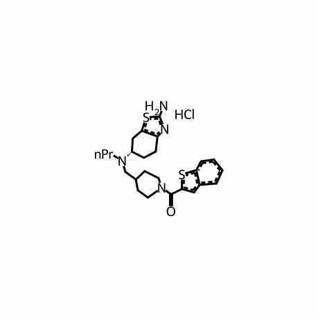 CCCN(CC1CCN(C(=O)c2cc3ccccc3s2)CC1)[C@H]1CCc2nc(N)sc2C1.Cl